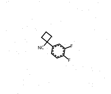 N#CC1(c2ccc(F)c(F)c2)CCC1